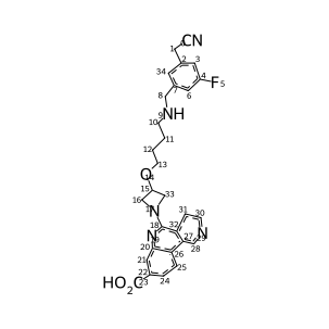 N#CCc1cc(F)cc(CNCCCCOC2CN(c3nc4cc(C(=O)O)ccc4c4cnccc34)C2)c1